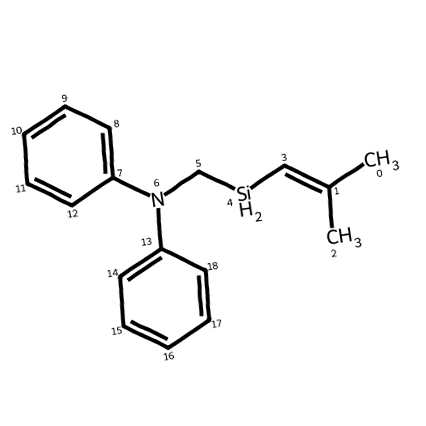 CC(C)=C[SiH2]CN(c1ccccc1)c1ccccc1